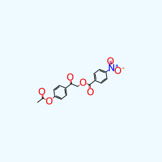 CC(=O)Oc1ccc(C(=O)COC(=O)c2ccc([N+](=O)[O-])cc2)cc1